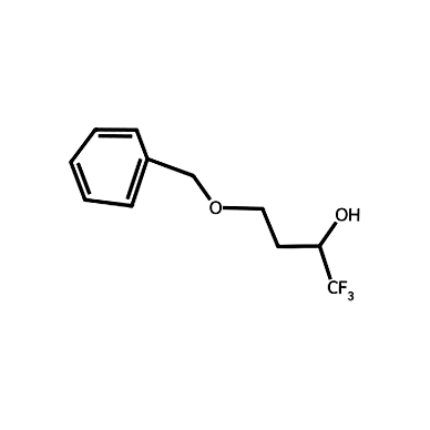 OC(CCOCc1ccccc1)C(F)(F)F